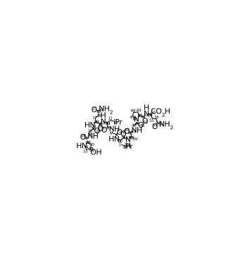 CC(C)C[C@H](NC(=O)CNC(=O)[C@H](CC(C)C)NC(=O)[C@H](CCC(N)=O)NC(=O)CNC(=O)[C@@H]1C[C@@H](O)CN1)C(=O)N[C@@H](C)C(=O)NCC(=O)N1CCC[C@H]1C(=O)N[C@@H](CCC(N)=O)C(=O)O